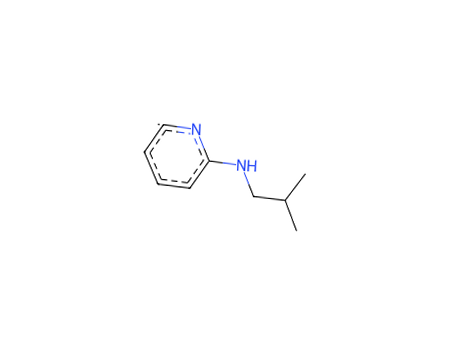 CC(C)CNc1ccc[c]n1